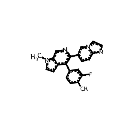 Cn1ccc2c(-c3ccc(C#N)c(F)c3)c(-c3ccc4nccn4c3)ncc21